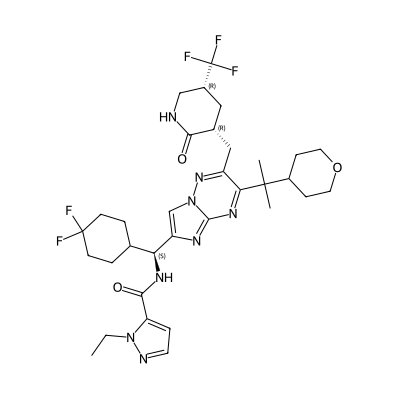 CCn1nccc1C(=O)N[C@H](c1cn2nc(C[C@H]3C[C@@H](C(F)(F)F)CNC3=O)c(C(C)(C)C3CCOCC3)nc2n1)C1CCC(F)(F)CC1